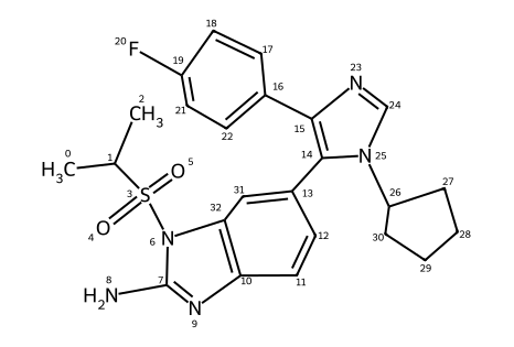 CC(C)S(=O)(=O)n1c(N)nc2ccc(-c3c(-c4ccc(F)cc4)ncn3C3CCCC3)cc21